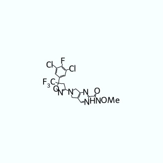 CONC(=O)c1ncc2c(n1)CN(C1=NOC(c3cc(Cl)c(F)c(Cl)c3)(C(F)(F)F)C1)C2